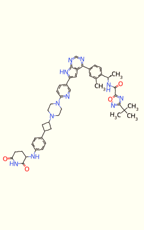 Cc1cc(-c2ncnc3[nH]c(-c4ccc(N5CCN(C6CC(c7ccc(NC8CCC(=O)NC8=O)cc7)C6)CC5)nc4)cc23)ccc1[C@@H](C)NC(=O)c1nc(C(C)(C)C)no1